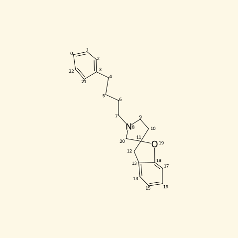 c1ccc(CCCCN2CCC3(Cc4ccccc4O3)C2)cc1